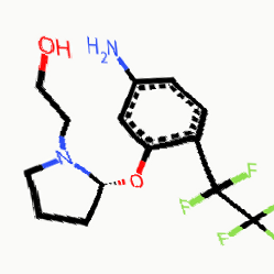 Nc1ccc(C(F)(F)C(F)(F)F)c(O[C@@H]2CCCN2CCO)c1